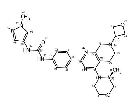 C[C@H]1COCCN1c1nc(-c2ccc(NC(=O)Nc3cnn(C)c3)cc2)nc2c1CCN(C1COC1)C2